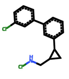 ClNCC1CC1c1cccc(-c2cccc(Cl)c2)c1